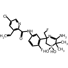 C=Cc1cc(Cl)cnc1C(=O)Nc1ccc(F)c(C2(CF)CS(O)(O)C(C)(C)C(N)=N2)c1